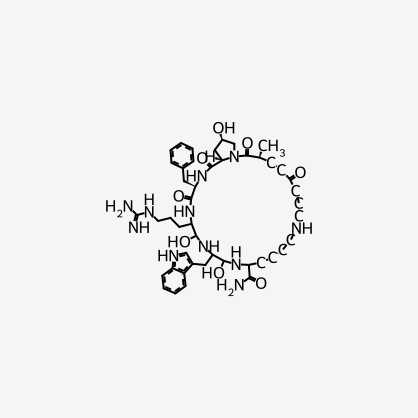 C[C@H]1CCC(=O)CCCNCCCCC(C(N)=O)NC(O)C(Cc2c[nH]c3ccccc23)NC(O)C(CCCNC(=N)N)NC(=O)[C@@H](Cc2ccccc2)NC(=O)[C@@H]2C[C@@H](O)CN2C1=O